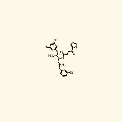 CCc1cccc(CNCC(OC(=O)CCC(=O)c2cccs2)C(N)Cc2cc(F)cc(F)c2)c1